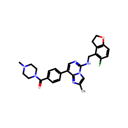 CN1CCN(C(=O)c2ccc(-c3cnc(NCc4c(F)ccc5c4CCO5)n4cc(C#N)nc34)cc2)CC1